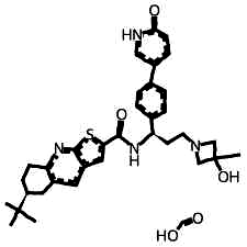 CC1(O)CN(CC[C@@H](NC(=O)c2cc3cc4c(nc3s2)CC[C@H](C(C)(C)C)C4)c2ccc(-c3ccc(=O)[nH]c3)cc2)C1.O=CO